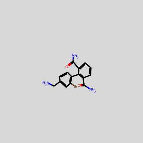 NCc1ccc(-c2c(C(N)=O)cccc2C(N)=O)c(Br)c1